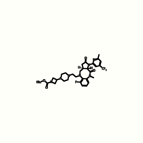 Cc1cc(C(F)(F)F)cc(N2C(=O)C[C@@H]3CN(CCN4CCN(C5CN(C(=O)OC(C)(C)C)C5)CC4)c4c(F)cccc4N(C)C(=O)[C@H]32)n1